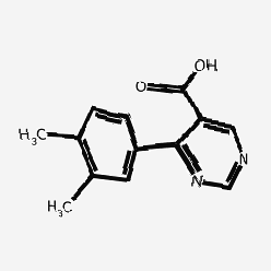 Cc1ccc(-c2ncncc2C(=O)O)cc1C